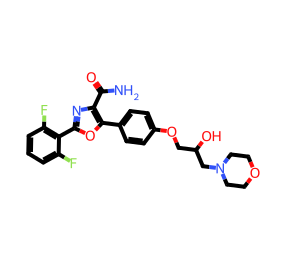 NC(=O)c1nc(-c2c(F)cccc2F)oc1-c1ccc(OCC(O)CN2CCOCC2)cc1